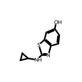 Oc1ccc2nc(NC3CC3)sc2c1